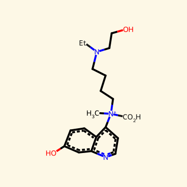 CCN(CCO)CCCC[N+](C)(C(=O)O)c1ccnc2cc(O)ccc12